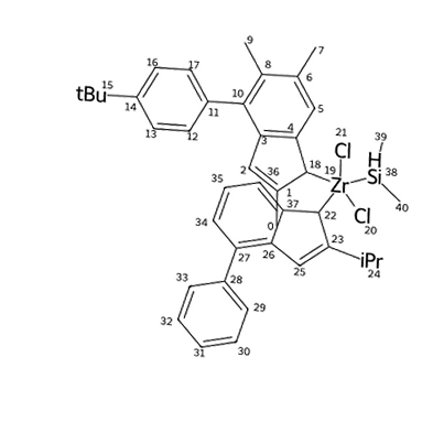 CC1=Cc2c(cc(C)c(C)c2-c2ccc(C(C)(C)C)cc2)[CH]1[Zr]([Cl])([Cl])([CH]1C(C(C)C)=Cc2c(-c3ccccc3)cccc21)[SiH](C)C